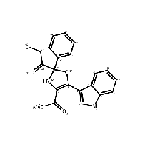 COC(=O)C1=C(c2c[nH]c3ccccc23)OC(C(=O)CCl)(c2ccccc2)N1